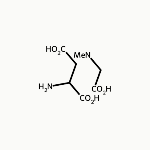 CNCC(=O)O.NC(CC(=O)O)C(=O)O